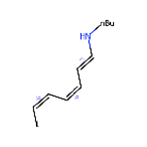 C\C=C/C=C\C=C\NCCCC